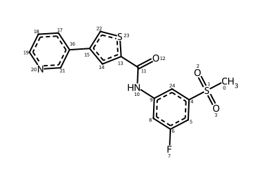 CS(=O)(=O)c1cc(F)cc(NC(=O)c2cc(-c3cccnc3)cs2)c1